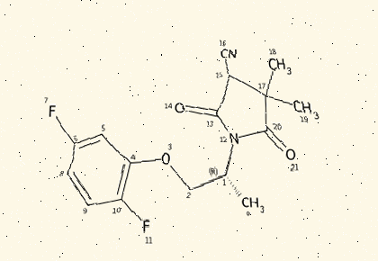 C[C@H](COc1cc(F)ccc1F)N1C(=O)C(C#N)C(C)(C)C1=O